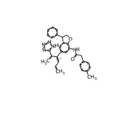 C=C/C=C(\C(=C)c1nnn[nH]1)c1cc(NC(=O)Cc2ccc(C)cc2)c2c(c1)C(c1ccccc1)CO2